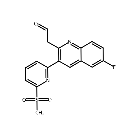 CS(=O)(=O)c1cccc(-c2cc3cc(F)ccc3nc2CC=O)n1